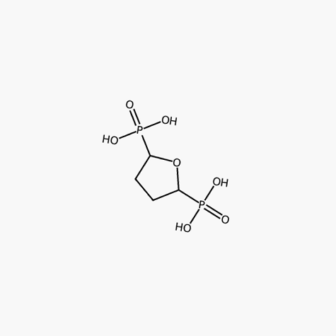 O=P(O)(O)C1CCC(P(=O)(O)O)O1